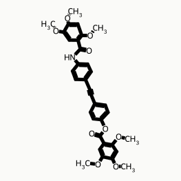 COc1cc(OC)c(C(=O)Nc2ccc(C#Cc3ccc(OC(=O)c4cc(OC)c(OC)cc4OC)cc3)cc2)cc1OC